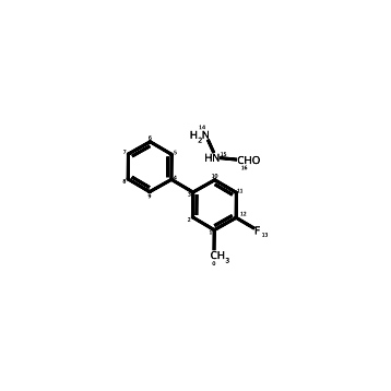 Cc1cc(-c2ccccc2)ccc1F.NNC=O